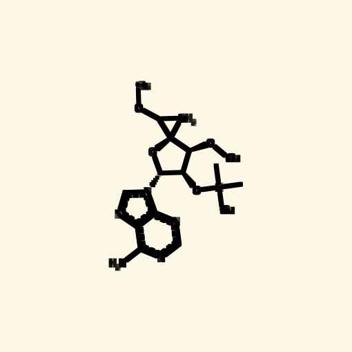 CC(C)(C)OC1[SiH2][C@@]12O[C@@H](n1cnc3c(N)ncnc31)[C@H](O[Si](C)(C)C(C)(C)C)[C@@H]2OC(C)(C)C